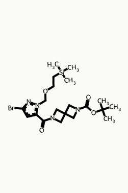 CC(C)(C)OC(=O)N1CC2(C1)CN(C(=O)c1cc(Br)nn1COCC[Si](C)(C)C)C2